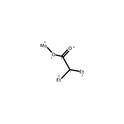 CCC(CC)C(=O)[O][Mo]